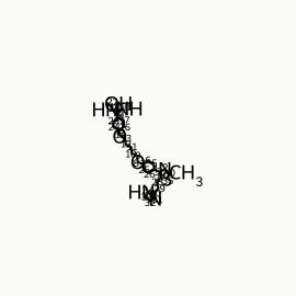 Cc1nc(-c2ccc(OCCCCCOc3ccc(C(=N)NO)cc3)cc2)c(CCc2ncc[nH]2)s1